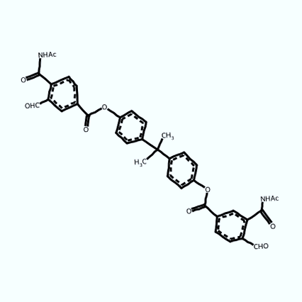 CC(=O)NC(=O)c1ccc(C(=O)Oc2ccc(C(C)(C)c3ccc(OC(=O)c4ccc(C=O)c(C(=O)NC(C)=O)c4)cc3)cc2)cc1C=O